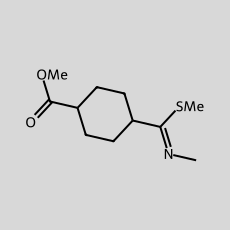 C/N=C(\SC)C1CCC(C(=O)OC)CC1